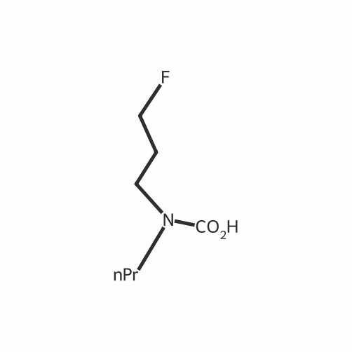 CCCN(CCCF)C(=O)O